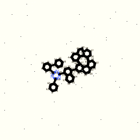 c1ccc(-c2nc(-c3ccccc3-c3ccccc3)nc(-c3ccc(-c4cc5ccc6cccc7c8cccc9ccc%10cccc(c(c4)c5c67)c%10c98)c4ccccc34)n2)cc1